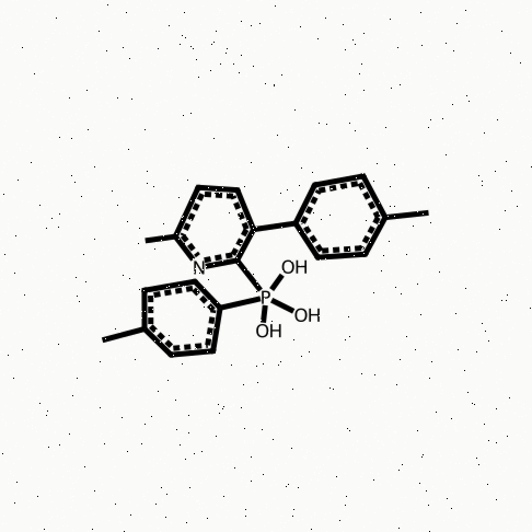 Cc1ccc(-c2ccc(C)nc2P(O)(O)(O)c2ccc(C)cc2)cc1